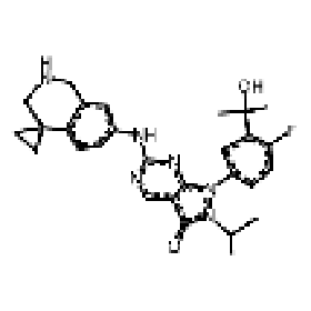 CC(C)n1c(=O)c2cnc(Nc3ccc4c(c3)CNCC43CC3)nc2n1-c1ccc(F)c(C(C)(C)O)c1